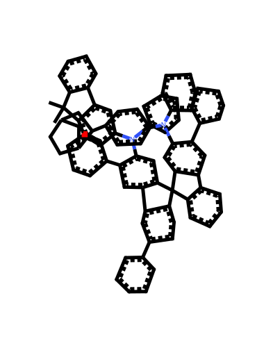 CC1(C)c2ccccc2-c2cc(N(c3ccccc3)c3cc4c(cc3-c3ccccc3)-c3cc(-c5ccccc5)ccc3C43c4ccccc4-c4cc(-c5ccccc5)c(N(c5ccccc5)c5ccc(C6CC7CCC6C7)cc5)cc43)ccc21